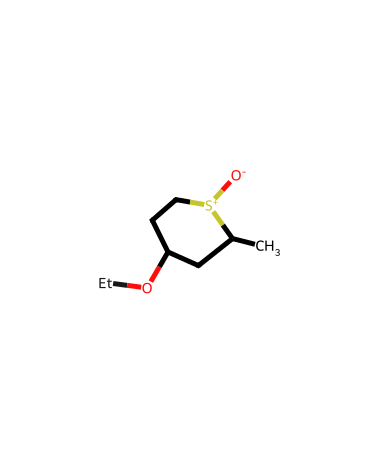 CCOC1CC[S+]([O-])C(C)C1